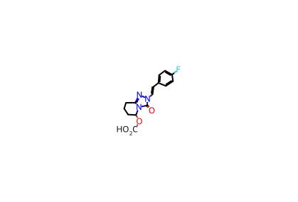 O=C(O)O[C@H]1CCCc2nn(/C=C/c3ccc(F)cc3)c(=O)n21